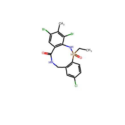 CC[SH]1(=O)Nc2c(cc(Br)c(C)c2Br)C(=O)NCc2cc(Cl)ccc21